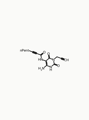 C#CCn1c(=O)[nH]c(N)c(NC(=O)C#CCCCCC)c1=O